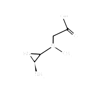 CN(CC(=O)O)C1N[C@@H]1N